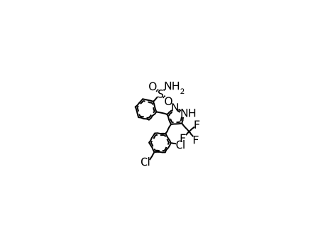 NS(=O)(=O)c1ccccc1-c1n[nH]c(C(F)(F)F)c1-c1ccc(Cl)cc1Cl